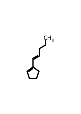 CCCC=CC1=CCCC1